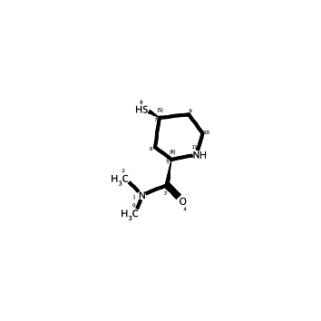 CN(C)C(=O)[C@H]1C[C@@H](S)CCN1